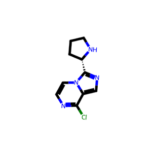 Clc1nccn2c([C@@H]3CCCN3)ncc12